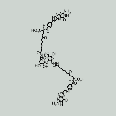 Nc1nc2ncc(CNc3ccc(C(=O)NC(CCC(=O)CCCCCCC(=O)NCC4CC(O)[C@H](O)[C@@H](O[C@@H]5C(CNC(=O)CCCCCCC(=O)CCC(NC(=O)c6ccc(NCc7cnc8nc(N)[nH]c(=O)c8n7)cc6)C(=O)O)O[C@H](O)C(O)[C@H]5O)O4)C(=O)O)cc3)nc2c(=O)[nH]1